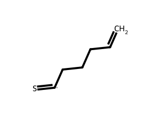 C=CCCC[C]=S